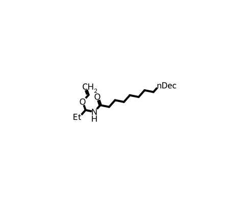 C=COC(CC)NC(=O)CCCCCCCCCCCCCCCCC